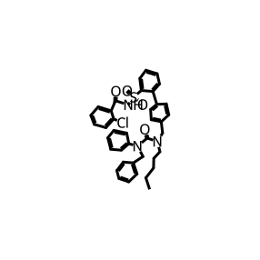 CCCCCN(Cc1ccc(-c2ccccc2S(=O)(=O)NC(=O)c2ccccc2Cl)cc1)C(=O)N(Cc1ccccc1)c1ccccc1